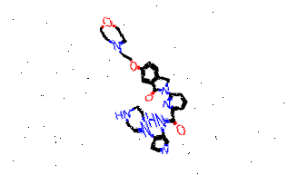 O=C(Nc1cnccc1N1CCNCC1)c1cccc(N2Cc3ccc(OCCN4CCOCC4)cc3C2=O)n1